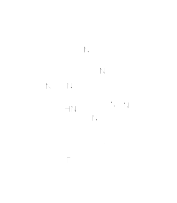 Cc1nn2c(CN3CCN(C)CC3)cc(Nc3cn(C)cn3)nc2c1Cc1ccc(F)cc1